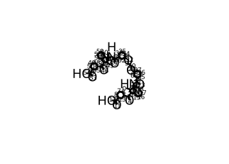 Cc1c(C(=O)c2cccc(C(=O)O)c2)c2ccccn2c1NC(=O)c1cccc(OCCOc2cccc(C(=O)Nc3c(C)c(C(=O)c4cccc(C(=O)O)c4)c4ccccn34)c2)c1